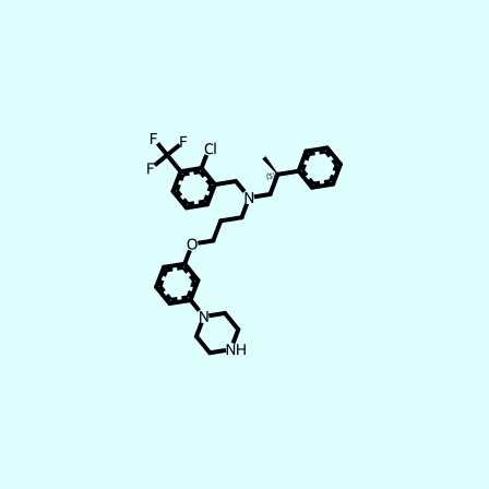 C[C@H](CN(CCCOc1cccc(N2CCNCC2)c1)Cc1cccc(C(F)(F)F)c1Cl)c1ccccc1